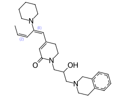 C/C=C\C(=C/C1=CC(=O)N(CC(O)CN2CCc3ccccc3C2)CC1)N1CCCCC1